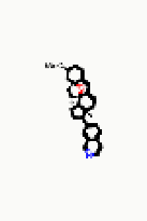 CO[C@H]1CCC2=CC3=CC[C@]4(C)C(c5ccc6ccncc6c5)CC[C@H]4[C@@]34CC[C@]2(C1)O4